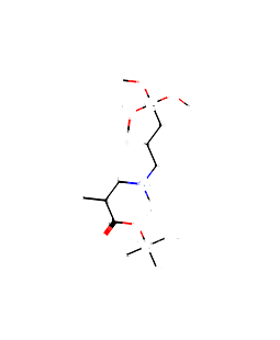 CCO[Si](CCCN(CC)CC(C)C(=O)O[Si](C)(C)C(C)(C)C)(OCC)OCC